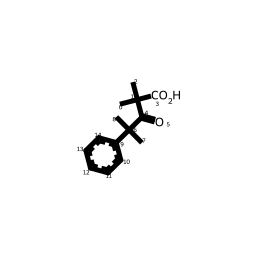 CC(C)(C(=O)O)C(=O)C(C)(C)c1ccccc1